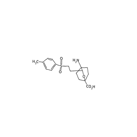 Cc1ccc(S(=O)(=O)CCC2OC3(C(=O)O)CCC2(N)CC3)cc1